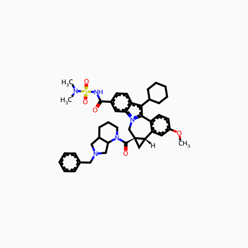 COc1ccc2c(c1)[C@@H]1C[C@]1(C(=O)N1CCCC3CN(Cc4ccccc4)CC31)Cn1c-2c(C2CCCCC2)c2ccc(C(=O)NS(=O)(=O)N(C)C)cc21